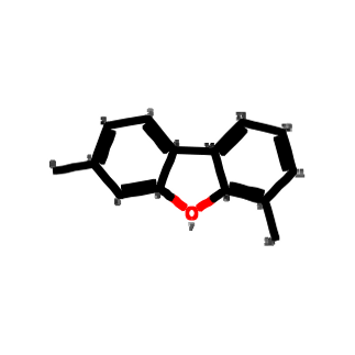 Cc1ccc2c(c1)oc1c(C)cccc12